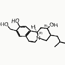 CC(C)CC1CN2CCc3cc(CO)c(O)cc3[C@H]2C[C@H]1O